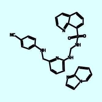 N#Cc1ccc(NCc2cccc(NCNS(=O)(=O)c3cccc4cccnc34)n2)cc1.c1ccn2ccnc2c1